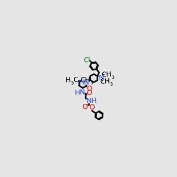 CC(C)CC(NC(=O)CNC(=O)OCc1ccccc1)C(=O)NC1CCC(Cc2ccc(Cl)cc2)(N(C)C)CC1